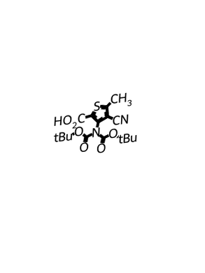 Cc1sc(C(=O)O)c(N(C(=O)OC(C)(C)C)C(=O)OC(C)(C)C)c1C#N